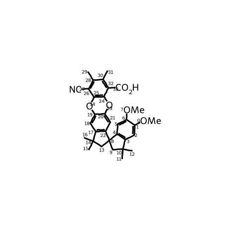 COc1cc2c(cc1OC)C1(CC2(C)C)CC(C)(C)c2cc3c(cc21)Oc1c(c(C#N)c(C)c(C)c1C(=O)O)O3